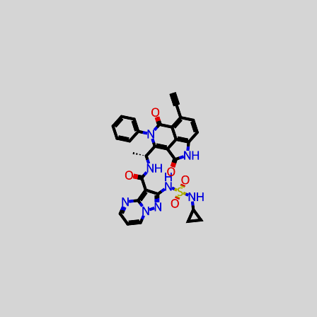 C#Cc1ccc2c3c(c([C@@H](C)NC(=O)c4c(NS(=O)(=O)NC5CC5)nn5cccnc45)n(-c4ccccc4)c(=O)c13)C(=O)N2